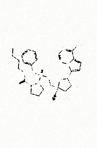 CCCCOC(=O)[C@@H]1CCCN1P(=O)(OC[C@@]1(C#N)O[C@@H](c2ccc3c(N)ncnn23)[C@H](O)[C@@H]1O)Oc1ccccc1